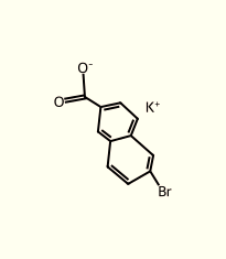 O=C([O-])c1ccc2cc(Br)ccc2c1.[K+]